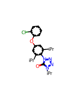 CC(C)c1cc(Oc2ccccc2Cl)cc(C(C)C)c1-n1nnn(C(C)C)c1=O